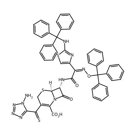 Nn1nnnc1C(=S)C1=C(C(=O)O)N2C(=O)[C@@H](NC(=O)/C(=N\OC(c3ccccc3)(c3ccccc3)c3ccccc3)c3csc(NC(c4ccccc4)(c4ccccc4)c4ccccc4)n3)[C@@H]2SC1